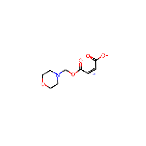 O=C(O)/C=C\C(=O)OCN1CCOCC1